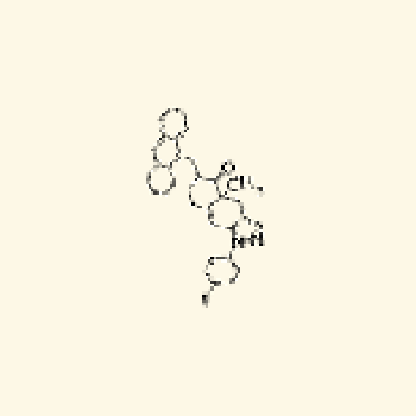 CC12Cc3cnn(-c4ccc(F)cc4)c3C=C1CCC(=Cc1c3ccccc3cc3ccccc13)C2=O